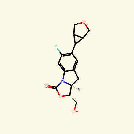 O=C1O[C@@H](CO)[C@@H]2Cc3cc(C4C5COCC54)c(F)cc3N12